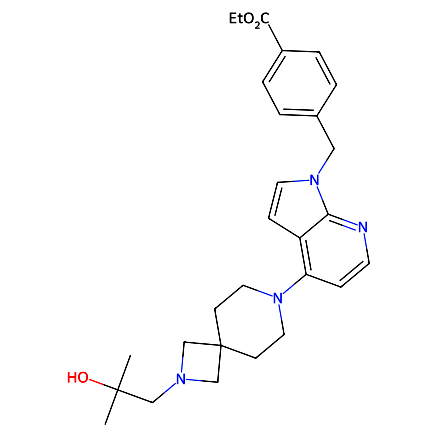 CCOC(=O)c1ccc(Cn2ccc3c(N4CCC5(CC4)CN(CC(C)(C)O)C5)ccnc32)cc1